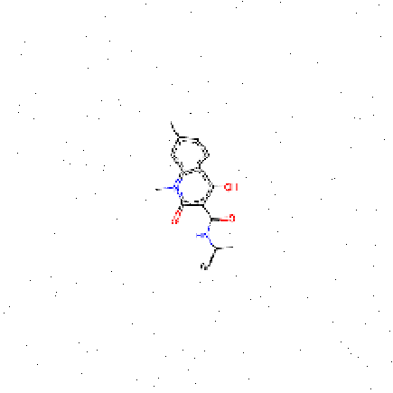 CC(=O)[C@H](C)NC(=O)c1c(O)c2ccc(C)cc2n(C)c1=O